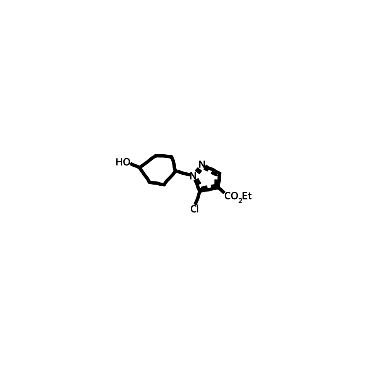 CCOC(=O)c1cnn(C2CCC(O)CC2)c1Cl